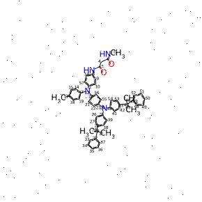 CNC(=O)CC(=O)Nc1ccc(N(c2ccc(C)cc2)c2ccc(N(c3ccc(C(C)(C)c4ccccc4)cc3)c3ccc(C(C)(C)c4ccccc4)cc3)cc2)cc1